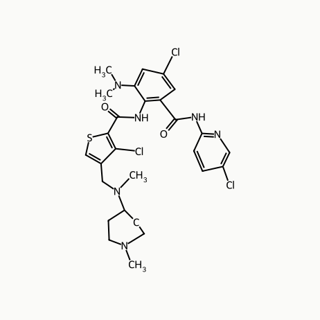 CN1CCC(N(C)Cc2csc(C(=O)Nc3c(C(=O)Nc4ccc(Cl)cn4)cc(Cl)cc3N(C)C)c2Cl)CC1